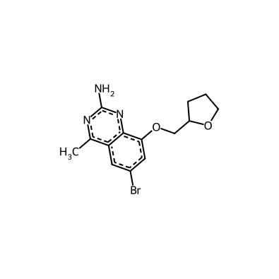 Cc1nc(N)nc2c(OCC3CCCO3)cc(Br)cc12